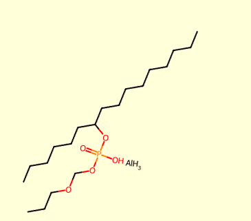 CCCCCCCCCC(CCCCCC)OP(=O)(O)OCOCCC.[AlH3]